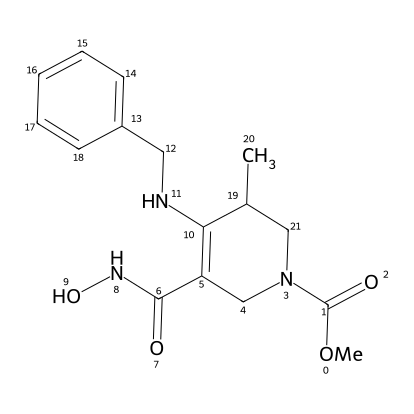 COC(=O)N1CC(C(=O)NO)=C(NCc2ccccc2)C(C)C1